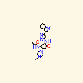 C=CC(=O)Nc1cc(Nc2cc(-c3cn(C)c4ccccc34)ncn2)c(OC)cc1N1CCN(CC)CC1